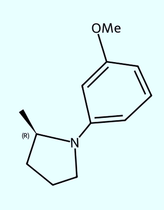 COc1cccc(N2CCC[C@H]2C)c1